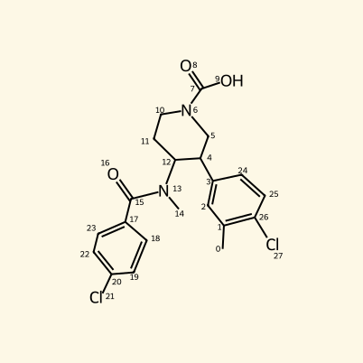 Cc1cc(C2CN(C(=O)O)CCC2N(C)C(=O)c2ccc(Cl)cc2)ccc1Cl